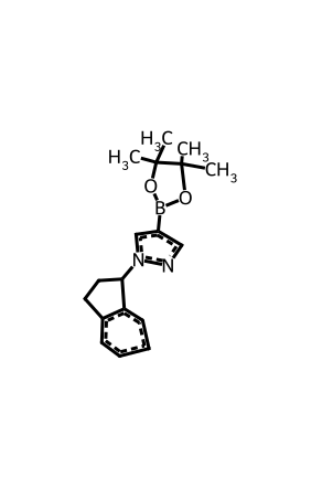 CC1(C)OB(c2cnn(C3CCc4ccccc43)c2)OC1(C)C